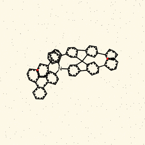 c1ccc(-c2ccc3c(c2)C2(c4cc(-c5ccccc5)ccc4-3)c3cc(-c4ccccc4)ccc3-c3ccc(N(c4ccc5c6ccccc6c6ccccc6c5c4)c4ccccc4-c4ccccc4)cc32)cc1